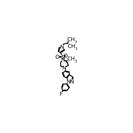 CC(C)Cn1ccc(S(=O)(=O)N2CCN(c3ccc4c(cnn4-c4ccc(F)cc4)c3)C[C@H]2C)c1